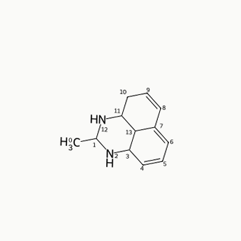 CC1NC2C=CC=C3C=CCC(N1)C32